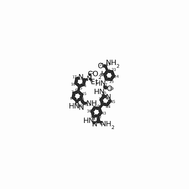 CCN(C(=O)O)c1cc(-c2ccc3[nH]nc(N)c3c2)ccn1.NC(=O)c1cccc(NC(=O)Nc2cc(-c3ccc4[nH]nc(N)c4c3)ccn2)c1